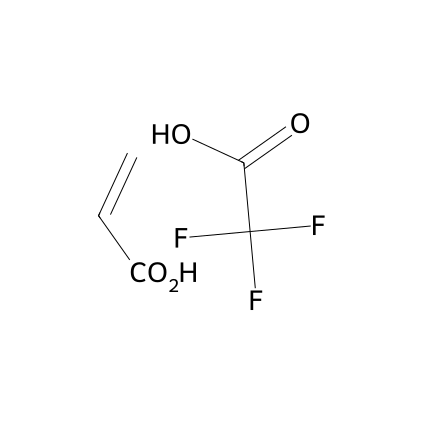 C=CC(=O)O.O=C(O)C(F)(F)F